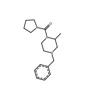 CC1CN(Cc2ccccc2)CCN1C(=O)N1CCCC1